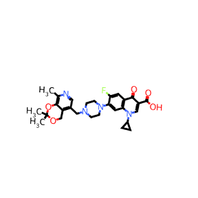 Cc1ncc(CN2CCN(c3cc4c(cc3F)c(=O)c(C(=O)O)cn4C3CC3)CC2)c2c1OC(C)(C)OC2